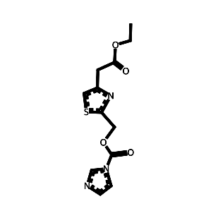 CCOC(=O)Cc1csc(COC(=O)n2ccnc2)n1